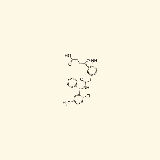 Cc1ccc(Cl)c(C(NC(=O)Cc2ccc3[nH]cc(CCC(=O)O)c3c2)c2ccccc2)c1